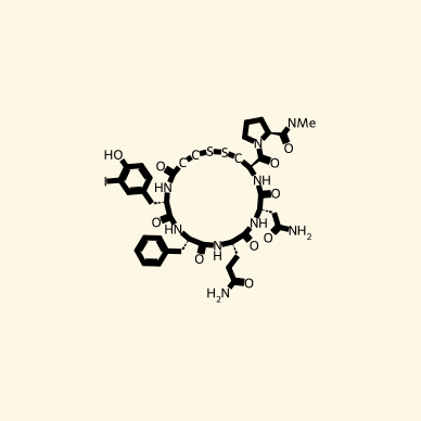 CNC(=O)[C@@H]1CCCN1C(=O)[C@@H]1CSSCCC(=O)N[C@@H](Cc2ccc(O)c(I)c2)C(=O)N[C@@H](Cc2ccccc2)C(=O)N[C@@H](CCC(N)=O)C(=O)N[C@@H](CC(N)=O)C(=O)N1